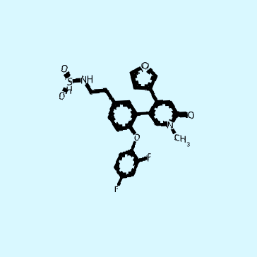 Cn1cc(-c2cc(CCN[SH](=O)=O)ccc2Oc2ccc(F)cc2F)c(-c2ccoc2)cc1=O